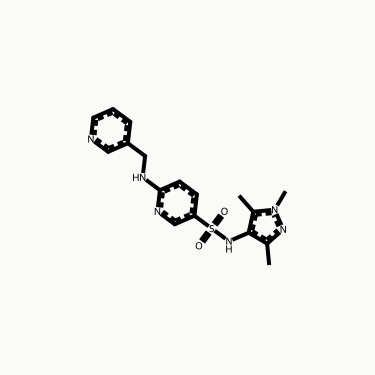 Cc1nn(C)c(C)c1NS(=O)(=O)c1ccc(NCc2cccnc2)nc1